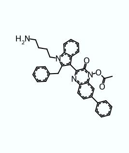 CC(=O)On1c(=O)c(-c2c(Cc3ccccc3)n(CCCCN)c3ccccc23)nc2ccc(-c3ccccc3)cc21